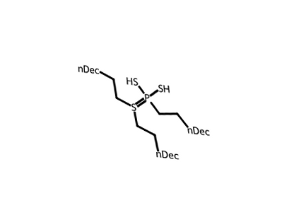 CCCCCCCCCCCCS(CCCCCCCCCCCC)=P(S)(S)CCCCCCCCCCCC